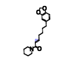 O=C(/C=C/CCCCc1ccc2c(c1)OCO2)N1CCCCC1